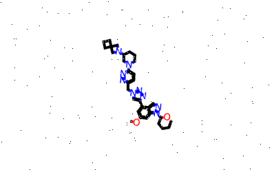 COc1cc(-c2cn(Cc3ccc(N4CCCC(N5CC6(CCC6)C5)C4)nn3)nn2)c2cnn(C3CCCCO3)c2c1